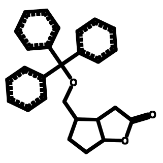 O=C1CC2C(COC(c3ccccc3)(c3ccccc3)c3ccccc3)CCC2O1